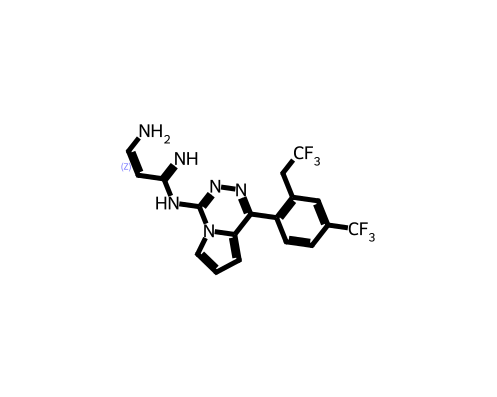 N=C(/C=C\N)Nc1nnc(-c2ccc(C(F)(F)F)cc2CC(F)(F)F)c2cccn12